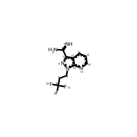 N=C(N)c1nn(CCC(F)(F)F)c2ncccc12